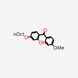 CCCCCCCCOc1ccc(C(=O)c2ccc(OC)cc2)c(O)c1